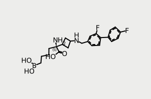 N[C@](CCCCB(O)O)(C(=O)O)C1CC(NCc2ccc(-c3ccc(F)cc3)c(F)c2)C1